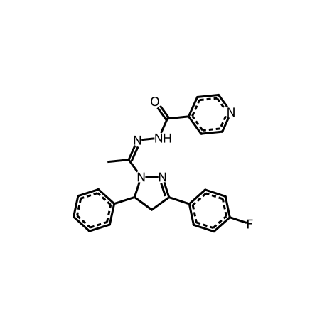 CC(=NNC(=O)c1ccncc1)N1N=C(c2ccc(F)cc2)CC1c1ccccc1